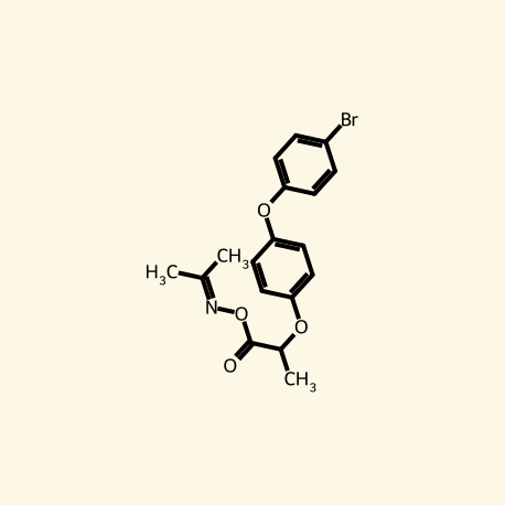 CC(C)=NOC(=O)C(C)Oc1ccc(Oc2ccc(Br)cc2)cc1